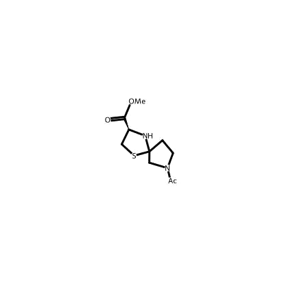 COC(=O)[C@@H]1CSC2(CCN(C(C)=O)C2)N1